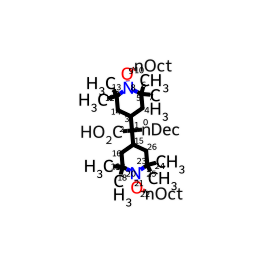 CCCCCCCCCCC(C(=O)O)(C1CC(C)(C)N(OCCCCCCCC)C(C)(C)C1)C1CC(C)(C)N(OCCCCCCCC)C(C)(C)C1